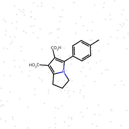 Cc1ccc(-c2c(C(=O)O)c(C(=O)O)c3n2CCC3)cc1